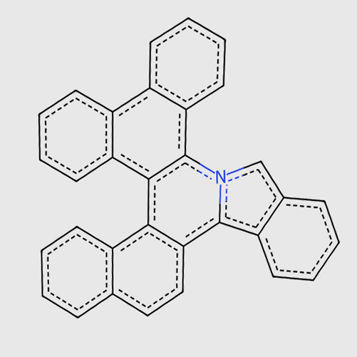 c1ccc2c(c1)ccc1c2c2c3ccccc3c3ccccc3c2n2cc3ccccc3c12